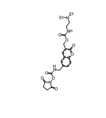 CCN(CC)CCNC(=O)OCc1cc2cc(CNC(=O)ON3C(=O)CCC3=O)ccc2oc1=O